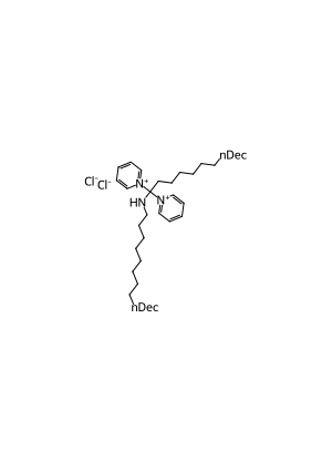 CCCCCCCCCCCCCCCCCCNC(CCCCCCCCCCCCCCCC)([n+]1ccccc1)[n+]1ccccc1.[Cl-].[Cl-]